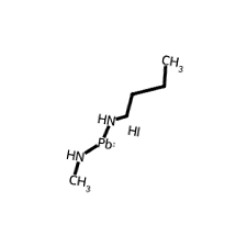 CCCC[NH][Pb][NH]C.I